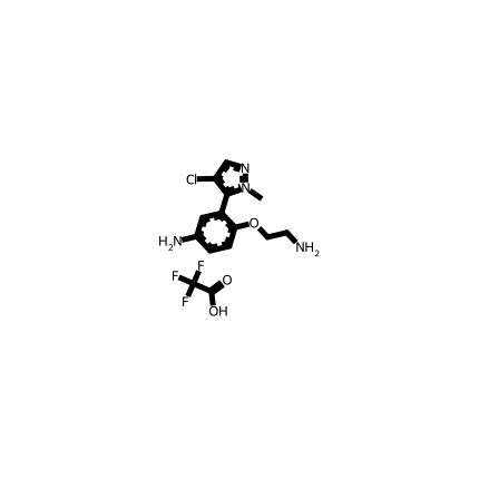 Cn1ncc(Cl)c1-c1cc(N)ccc1OCCN.O=C(O)C(F)(F)F